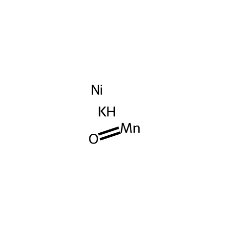 [KH].[Ni].[O]=[Mn]